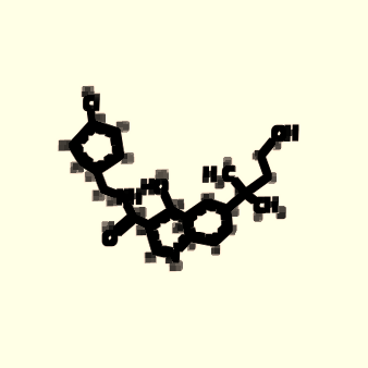 CC(C)(CCO)c1ccc2ncc(C(=O)NCc3ccc(Cl)cc3)c(O)c2c1